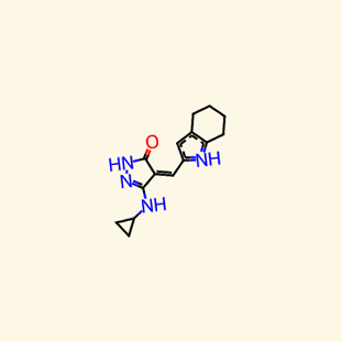 O=C1NN=C(NC2CC2)C1=Cc1cc2c([nH]1)CCCC2